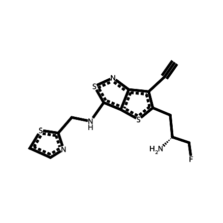 C#Cc1c(C[C@@H](N)CF)sc2c(NCc3nccs3)snc12